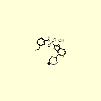 CCc1cccc(NS(=O)(=O)c2cc3c(N4CCNCC4)nccc3s2)c1.Cl